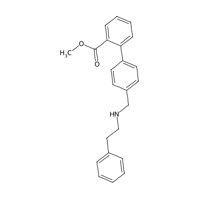 COC(=O)c1ccccc1-c1ccc(CNCCc2ccccc2)cc1